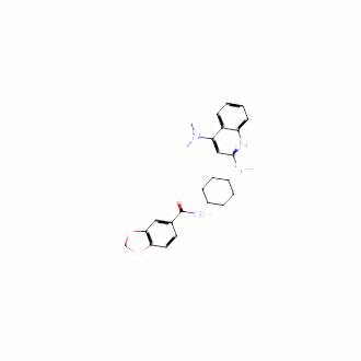 CN(C)c1cc(N[C@H]2CC[C@@H](NC(=O)c3ccc4c(c3)OCO4)CC2)nc2ccccc12